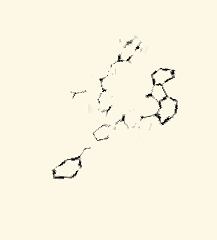 CC[C@@H](C)[C@H](NC(=O)c1cccc2c1C(=O)c1ccccc1-2)C(=O)N1C[C@H](OCc2ccccc2)C[C@H]1C(=O)N[C@@H](CC(F)F)C(=O)C(=O)NCc1nn[nH]n1